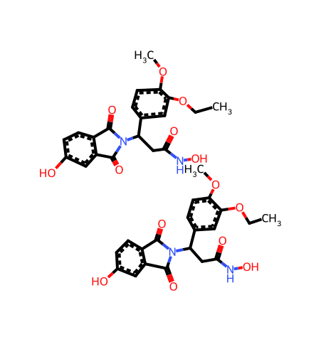 CCOc1cc(C(CC(=O)NO)N2C(=O)c3ccc(O)cc3C2=O)ccc1OC.CCOc1cc(C(CC(=O)NO)N2C(=O)c3ccc(O)cc3C2=O)ccc1OC